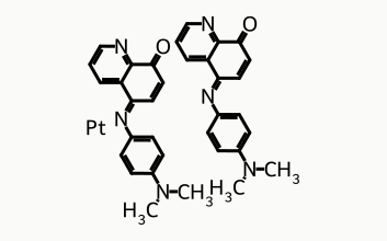 CN(C)c1ccc(N=C2C=CC(=O)c3ncccc32)cc1.CN(C)c1ccc(N=C2C=CC(=O)c3ncccc32)cc1.[Pt]